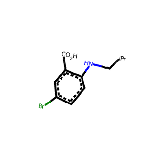 CC(C)CNc1ccc(Br)cc1C(=O)O